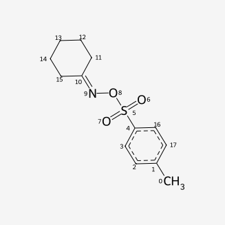 Cc1ccc(S(=O)(=O)ON=C2CCCCC2)cc1